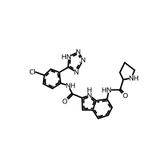 O=C(Nc1ccc(Cl)cc1-c1nnn[nH]1)c1cc2cccc(NC(=O)C3CCCN3)c2[nH]1